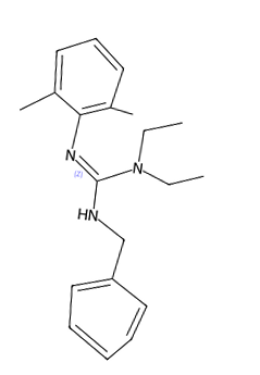 CCN(CC)/C(=N\c1c(C)cccc1C)NCc1ccccc1